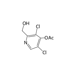 CC(=O)Oc1c(Cl)cnc(CO)c1Cl